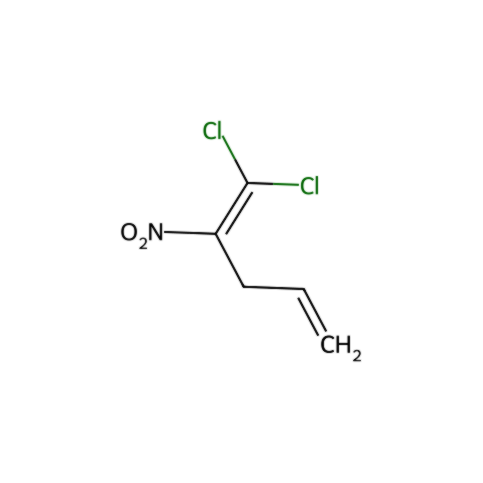 C=CCC(=C(Cl)Cl)[N+](=O)[O-]